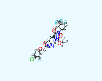 CC(C)(C)OC(=O)N1CC(NC(=O)COc2ccc(Cl)c(F)c2)CC[C@H]1C(=O)Nc1ccc(F)c(C(F)(F)F)c1